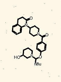 CCCCC(Oc1ccc(C(=O)N2CCC(N3C(=O)CCc4ccccc43)CC2)cc1)N1CCCC(O)C1